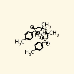 Cc1ccc(S(=O)(=O)CC(C)(C)SC(C)(C)CS(=O)(=O)c2ccc(C)cc2)cc1